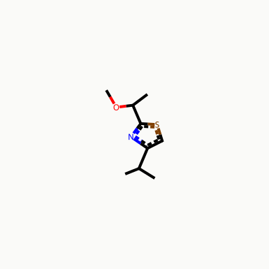 COC(C)c1nc(C(C)C)cs1